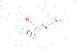 CC(C)(C)N(CC(COc1cccc2c1C[C@@H](O)[C@@H](O)C2)OC(=O)CCCON(O)O)C(=O)CCCON(O)O